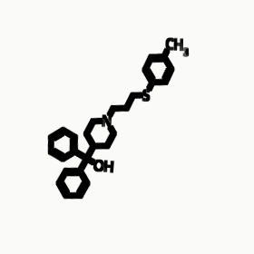 Cc1ccc(SCCCN2CCC(C(O)(c3ccccc3)c3ccccc3)CC2)cc1